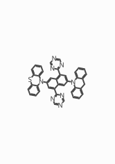 c1ccc2c(c1)Cc1ccccc1N2c1cc(-c2ncncn2)c2cc(N3c4ccccc4Sc4ccccc43)cc(-c3ncncn3)c2c1